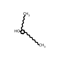 CCCCCCCCCCCc1ccc(O)c(CCCCCCCCC)c1